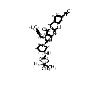 [C-]#[N+]c1ccc(Cn2c(Cl)nc3nc(N4CCCC(NC(=O)OC(C)(C)C)C4)n(CC#CC)c3c2=O)cc1